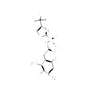 CC(C)c1cc(C#N)c(F)c(C(C)C)c1CC(=O)N=[S@@](N)(=O)c1nc(C(C)(C)O)cs1